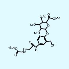 COC(=O)C1OC(Oc2ccc(NC(=O)CONC(=O)OC(C)(C)C)cc2CO)C(OC(C)=O)C(OC(C)=O)C1OC(C)=O